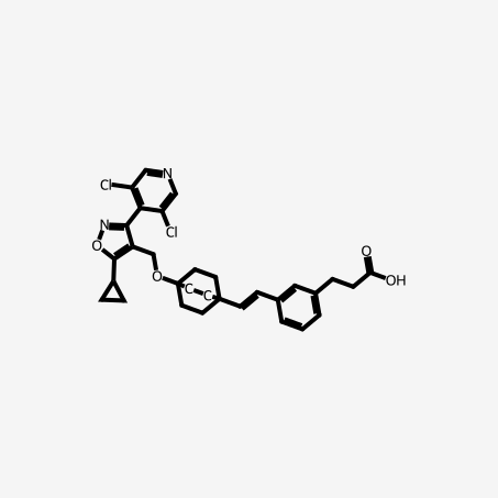 O=C(O)CCc1cccc(/C=C/C23CCC(OCc4c(-c5c(Cl)cncc5Cl)noc4C4CC4)(CC2)CC3)c1